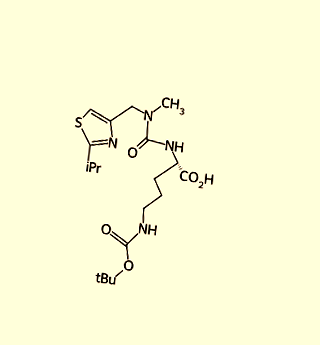 CC(C)c1nc(CN(C)C(=O)N[C@@H](CCCNC(=O)OC(C)(C)C)C(=O)O)cs1